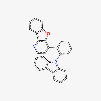 c1ccc(-n2c3ccccc3c3ccccc32)c(-c2ccnc3c2oc2ccccc23)c1